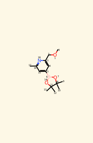 COCc1cc(B2OC(C)(C)C(C)(C)O2)cc(C)n1